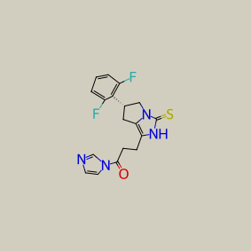 O=C(CCc1[nH]c(=S)n2c1C[C@H](c1c(F)cccc1F)C2)n1ccnc1